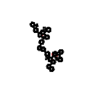 CC1(C)c2ccccc2-c2ccc(-c3ccc(N(c4ccc(-c5cccc6cc(-c7ccc8c(c7)oc7cccc(-c9ccccc9N(c9ccc(-c%10cccc%11ccccc%10%11)cc9)c9ccccc9-n9c%10ccccc%10c%10ccccc%109)c78)ccc56)cc4)c4ccccc4-c4cccc5oc6ccccc6c45)cc3)cc21